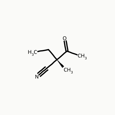 CC[C@@](C)(C#N)C(C)=O